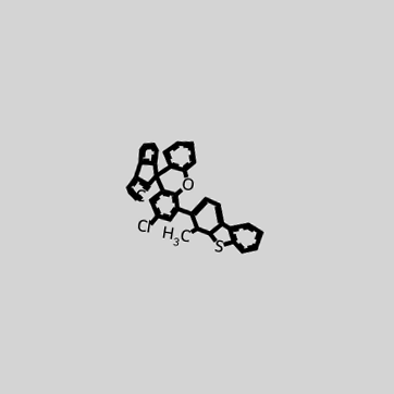 CC1C(c2cc(Cl)cc3c2Oc2ccccc2C32c3ccccc3-c3ccccc32)=CC=C2c3ccccc3SC21